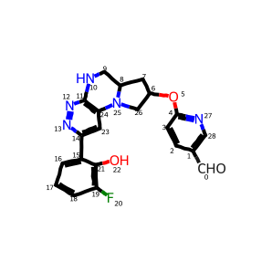 O=Cc1ccc(OC2CC3CNc4nnc(-c5cccc(F)c5O)cc4N3C2)nc1